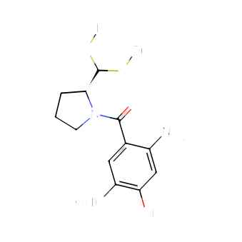 CCSC(SCC)[C@@H]1CCCN1C(=O)c1cc(C=O)c(O)cc1[N+](=O)[O-]